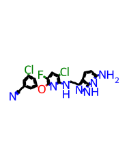 N#Cc1cc(Cl)cc(Oc2nc(NCc3n[nH]c4nc(N)ccc34)c(Cl)cc2F)c1